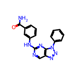 NC(=O)c1cccc(Nc2ncc3nnn(-c4ccccc4)c3n2)c1